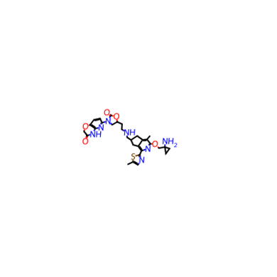 Cc1cnc(-c2nc(OCC3(N)CC3)c(C)c3c2CC(CNCCC2CN(c4ccc5c(n4)NC(=O)CO5)C(=O)O2)C3)s1